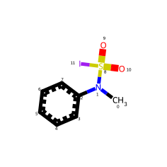 CN(c1ccccc1)S(=O)(=O)I